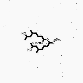 CCCCCCCCCCOC(CCCC(C)CC(C)O)OC(CCCC(C)CC(C)O)OCCCCCCCCCC